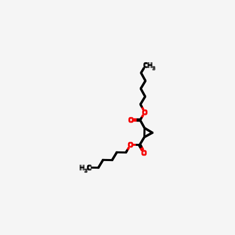 CCCCCCOC(=O)C1CC1C(=O)OCCCCCC